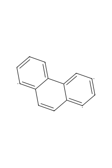 [c]1c[c]c2ccc3[c]cccc3c2c1